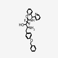 NC(Cc1ccc(OCc2ccccc2)cc1)C(O)C(F)(F)C(=O)NC(c1ccccn1)c1ccccn1